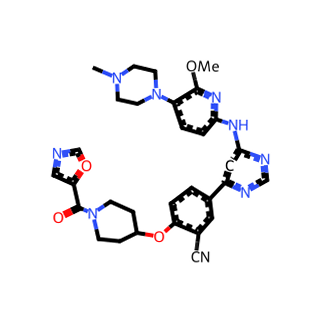 COc1nc(Nc2cc(-c3ccc(OC4CCN(C(=O)c5cnco5)CC4)c(C#N)c3)ncn2)ccc1N1CCN(C)CC1